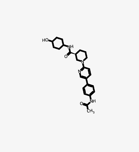 CC(=O)Nc1ccc(-c2ccc(N3CCC[C@H](C(=O)NC4CCC(O)CC4)C3)nc2)cc1